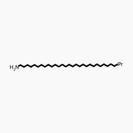 CC(C)CCCCCCCCCCCCCCCCCCCCCCCCCCCCN